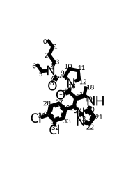 CCCCN(CC)C(=O)[C@@H]1CCCN1C(=O)C1=C(C)Nc2ccnn2C1c1ccc(Cl)c(Cl)c1